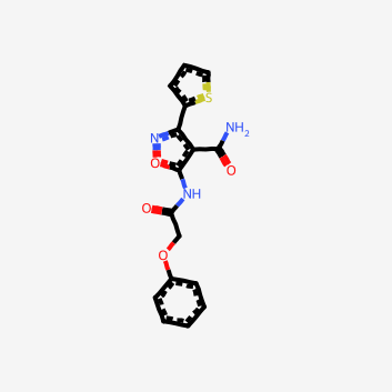 NC(=O)c1c(-c2cccs2)noc1NC(=O)COc1ccccc1